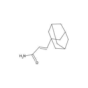 NC(=O)C=CC12CC3CC(CC(C3)C1)C2